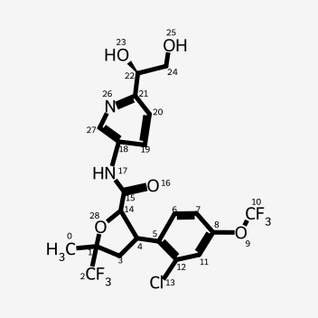 CC1(C(F)(F)F)CC(c2ccc(OC(F)(F)F)cc2Cl)C(C(=O)Nc2ccc([C@@H](O)CO)nc2)O1